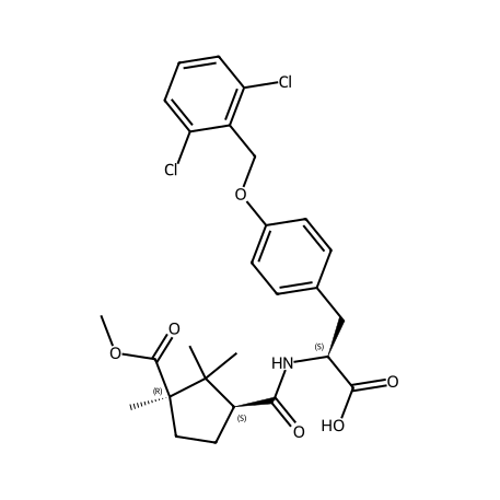 COC(=O)[C@]1(C)CC[C@H](C(=O)N[C@@H](Cc2ccc(OCc3c(Cl)cccc3Cl)cc2)C(=O)O)C1(C)C